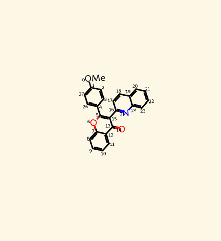 COc1ccc(-c2oc3ccccc3c(=O)c2-c2ccc3ccccc3n2)cc1